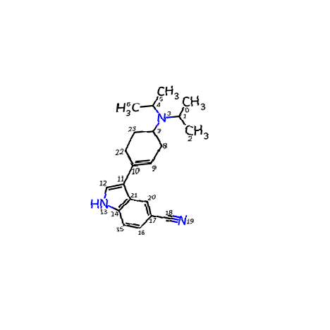 CC(C)N(C(C)C)C1CC=C(c2c[nH]c3ccc(C#N)cc23)CC1